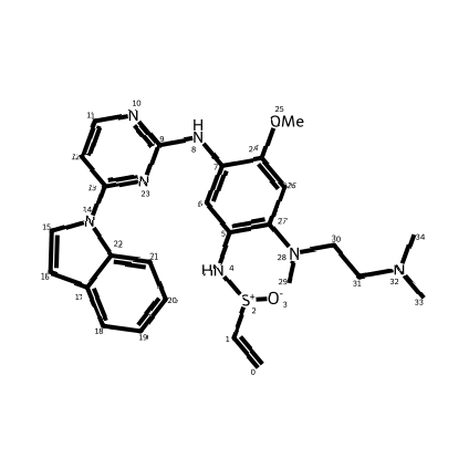 C=C[S+]([O-])Nc1cc(Nc2nccc(-n3ccc4ccccc43)n2)c(OC)cc1N(C)CCN(C)C